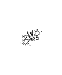 CCCCN=C(Nc1nc(C)cc(C)n1)N(CCCC)S(=O)(=O)c1ccccc1Cl